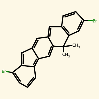 CC1(C)c2cc(Br)ccc2C=c2cc3c(cc21)=c1cccc(Br)c1=C3